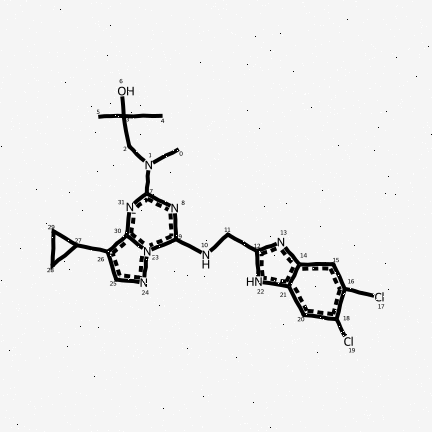 CN(CC(C)(C)O)c1nc(NCc2nc3cc(Cl)c(Cl)cc3[nH]2)n2ncc(C3CC3)c2n1